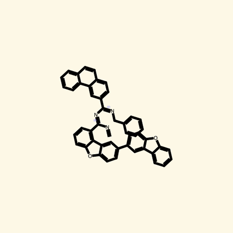 C=N/C(=N\C(=N/Cc1ccccc1)c1ccc2ccc3ccccc3c2c1)c1cccc2oc3ccc(-c4ccc5oc6ccccc6c5c4)cc3c12